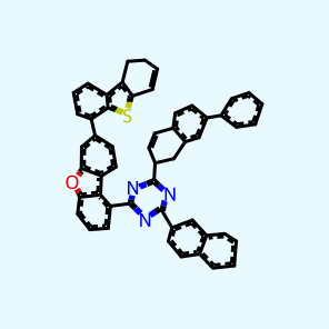 C1=Cc2sc3c(-c4ccc5c(c4)oc4cccc(-c6nc(-c7ccc8ccccc8c7)nc(C7C=Cc8ccc(-c9ccccc9)cc8C7)n6)c45)cccc3c2CC1